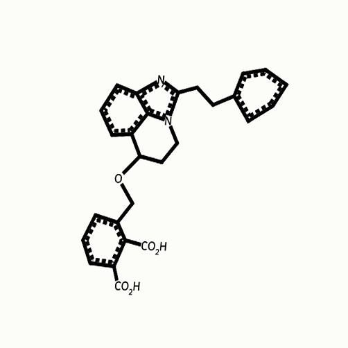 O=C(O)c1cccc(COC2CCn3c(CCc4ccccc4)nc4cccc2c43)c1C(=O)O